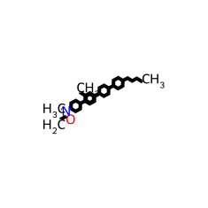 C=CC(=O)N(C)C1CCC(c2ccc(C3CCC(C4CCC(CCCCC)CC4)CC3)cc2CC)CC1